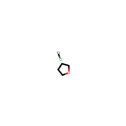 C1CCOC1.[Cl][Cr]